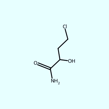 NC(=O)C(O)CCCl